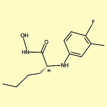 CCCC[C@@H](Nc1ccc(F)c(C)c1)C(=O)NO